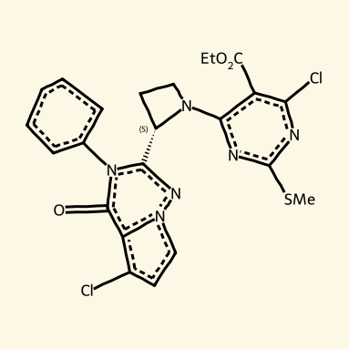 CCOC(=O)c1c(Cl)nc(SC)nc1N1CC[C@H]1c1nn2ccc(Cl)c2c(=O)n1-c1ccccc1